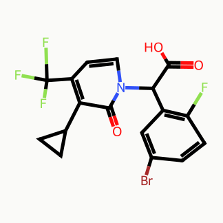 O=C(O)C(c1cc(Br)ccc1F)n1ccc(C(F)(F)F)c(C2CC2)c1=O